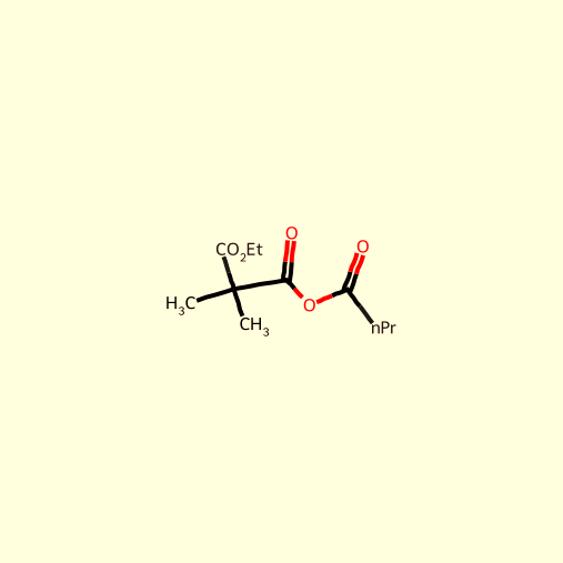 CCCC(=O)OC(=O)C(C)(C)C(=O)OCC